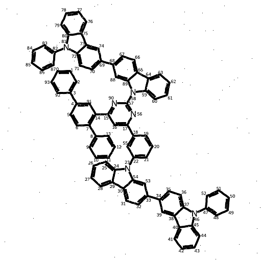 c1ccc(-c2ccc(-c3ccccc3)c(-c3cc(-c4cccc(-n5c6ccccc6c6ccc(-c7ccc8c(c7)c7ccccc7n8-c7ccccc7)cc65)c4)nc(-n4c5ccccc5c5ccc(-c6ccc7c(c6)c6ccccc6n7-c6ccccc6)cc54)n3)c2)cc1